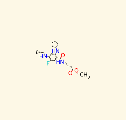 CCOC(=O)CCCNC(=O)c1cc(F)c(NCC2CC2)cc1NC1CCCC1